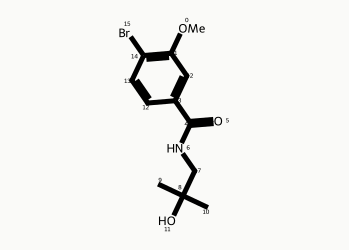 COc1cc(C(=O)NCC(C)(C)O)ccc1Br